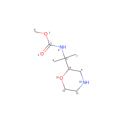 COC(=O)NC(C)(C)C1CNCCO1